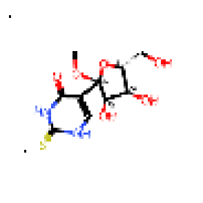 CO[C@@]1(c2c[nH]c(=S)[nH]c2=O)O[C@H](CO)[C@@H](O)[C@H]1O